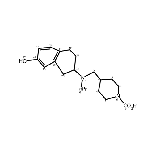 CCCN(CC1CCN(C(=O)O)CC1)C1CCc2ccc(O)cc2C1